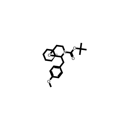 COc1ccc(CC2N(C(=O)OC(C)(C)C)CCC34CCCC[C@]23O4)cc1